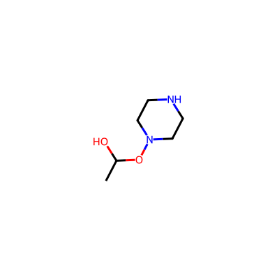 CC(O)ON1CCNCC1